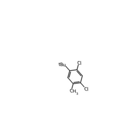 Cc1cc(C(C)(C)C)c(Cl)cc1Cl